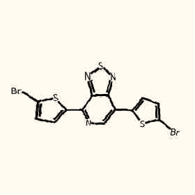 Brc1ccc(-c2cnc(-c3ccc(Br)s3)c3nsnc23)s1